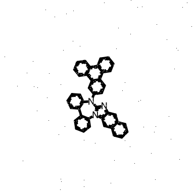 c1ccc2c(c1)-c1ccccc1-n1c(nc3cc4ccccc4cc31)N2c1ccc2c3ccccc3c3ccccc3c2c1